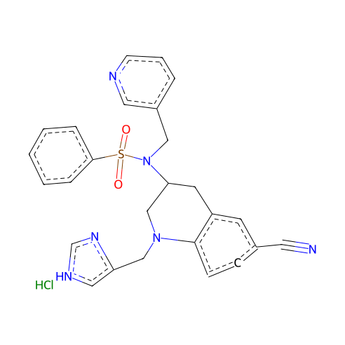 Cl.N#Cc1ccc2c(c1)CC(N(Cc1cccnc1)S(=O)(=O)c1ccccc1)CN2Cc1c[nH]cn1